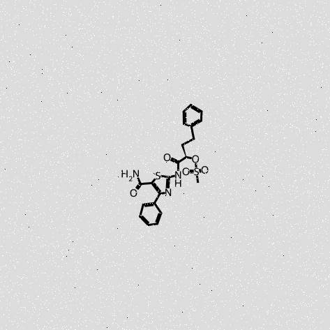 CS(=O)(=O)O[C@H](CCc1ccccc1)C(=O)Nc1nc(-c2ccccc2)c(C(N)=O)s1